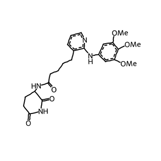 COc1cc(Nc2ncccc2CCCCC(=O)NC2CCC(=O)NC2=O)cc(OC)c1OC